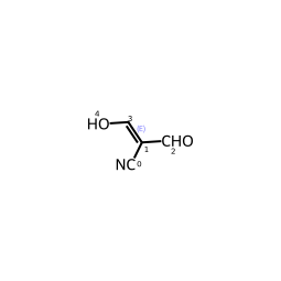 N#C/C(C=O)=C\O